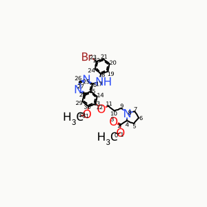 COC(=O)C1CCCN1CCCOc1cc2c(Nc3cccc(Br)c3)ncnc2cc1OC